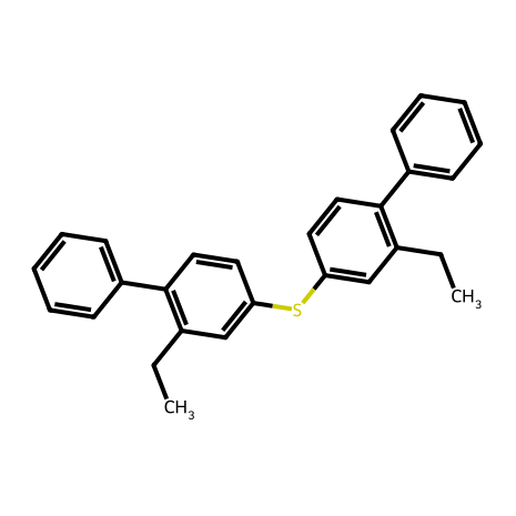 CCc1cc(Sc2ccc(-c3ccccc3)c(CC)c2)ccc1-c1ccccc1